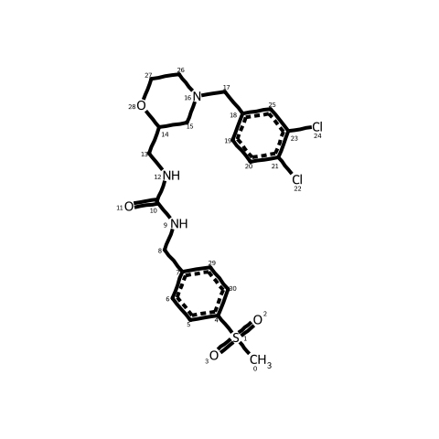 CS(=O)(=O)c1ccc(CNC(=O)NCC2CN(Cc3ccc(Cl)c(Cl)c3)CCO2)cc1